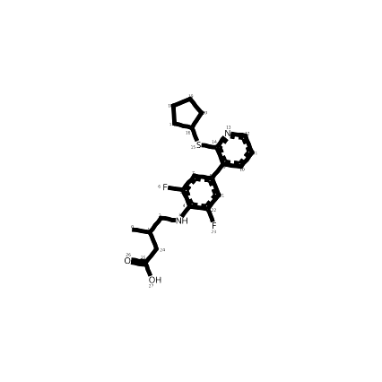 CC(CNc1c(F)cc(-c2cccnc2SC2CCCC2)cc1F)CC(=O)O